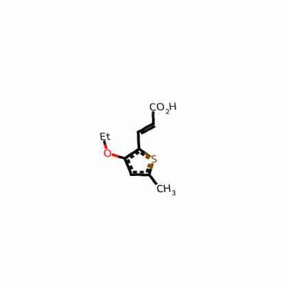 CCOc1cc(C)sc1/C=C/C(=O)O